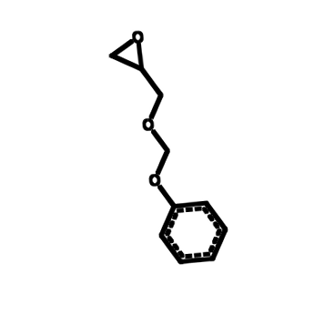 c1ccc(OCOCC2CO2)cc1